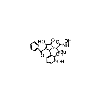 CCCCC(C(=O)NO)N1C(=O)C(O)=C(C(=O)c2ccccc2)C1c1cccc(O)c1O